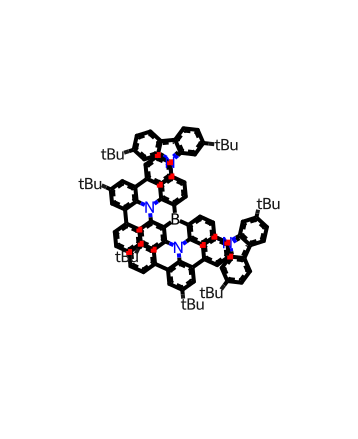 CC(C)(C)c1cc(-c2ccccc2)c(N2c3cc(-n4c5cc(C(C)(C)C)ccc5c5ccc(C(C)(C)C)cc54)ccc3B3c4ccc(-n5c6cc(C(C)(C)C)ccc6c6ccc(C(C)(C)C)cc65)cc4N(c4c(-c5ccccc5)cc(C(C)(C)C)cc4-c4ccccc4)c4cc(C(C)(C)C)cc2c43)c(-c2ccccc2)c1